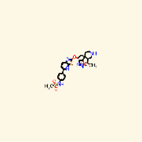 CC(C)C1CNCCC1(CCOc1nc2ccc(-c3ccc(NS(C)(=O)=O)cc3)nc2s1)c1cnno1